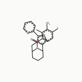 Cc1c(C(=O)N2C3CCCC2c2nnc(-c4ccccn4)n2C3)ccc(F)c1C(F)(F)F